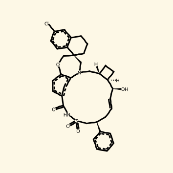 O=C1NS(=O)(=O)C[C@H](c2ccccc2)C/C=C/[C@H](O)[C@@H]2CC[C@H]2CN2C[C@@]3(CCCc4cc(Cl)ccc43)COc3ccc1cc32